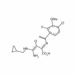 C=C(/N=C(C(=O)O)\C(Cl)=C(/N)NCC1CC1)c1ccc(Cl)c(OC)c1F